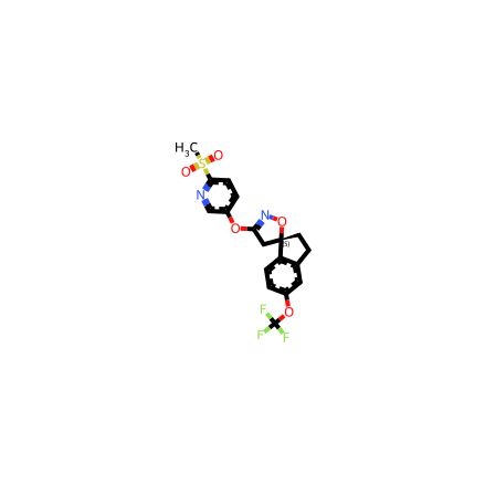 CS(=O)(=O)c1ccc(OC2=NO[C@@]3(CCc4cc(OC(F)(F)F)ccc43)C2)cn1